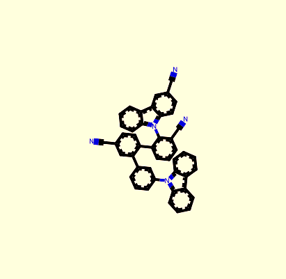 N#Cc1ccc(-c2cccc(C#N)c2-n2c3ccccc3c3cc(C#N)ccc32)c(-c2cccc(-n3c4ccccc4c4ccccc43)c2)c1